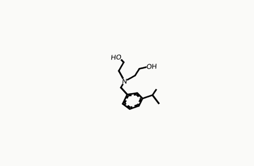 CC(C)c1cccc(CN(CCO)CCO)c1